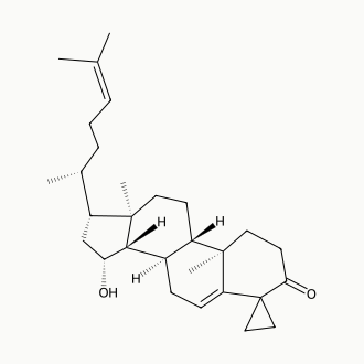 CC(C)=CCC[C@@H](C)[C@H]1C[C@@H](O)[C@H]2[C@@H]3CC=C4C5(CC5)C(=O)CC[C@]4(C)[C@H]3CC[C@@]21C